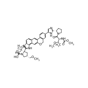 COC[C@@H]1CN(C(=O)O)[C@](c2nc3ccc4cc5c(cc4c3[nH]2)OCc2cc(-c3cnc([C@@H]4CCCN4C(=O)[C@@H](NC(=O)OC)[C@@H](C)OC)[nH]3)ccc2-5)(C(C)(C)C)C1